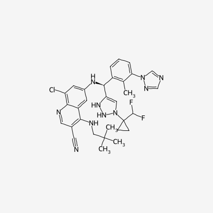 Cc1c([C@H](Nc2cc(Cl)c3ncc(C#N)c(NCC(C)(C)C)c3c2)C2=CN(C3(C(F)F)CC3)NN2)cccc1-n1cncn1